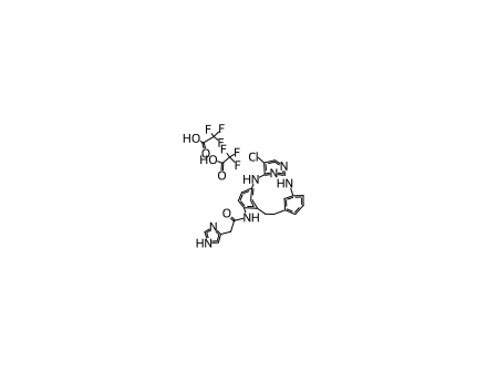 O=C(Cc1c[nH]cn1)Nc1ccc2cc1CCc1cccc(c1)Nc1ncc(Cl)c(n1)N2.O=C(O)C(F)(F)F.O=C(O)C(F)(F)F